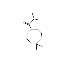 CC(C)C(=O)C1CCCC(F)(F)CCC1